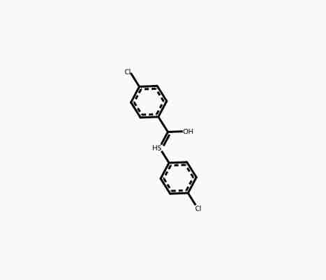 OC(=[SH]c1ccc(Cl)cc1)c1ccc(Cl)cc1